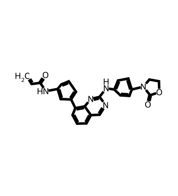 C=CC(=O)Nc1cccc(-c2cccc3cnc(Nc4ccc(N5CCOC5=O)cc4)nc23)c1